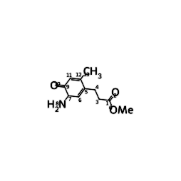 COC(=O)CCC1=CC(N)C(=O)C=C1C